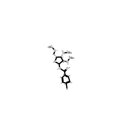 CCCCOC[C@H]1SC(OC(=O)c2ccc(C)cc2)[C@H](OCCCC)[C@H]1OCCCC